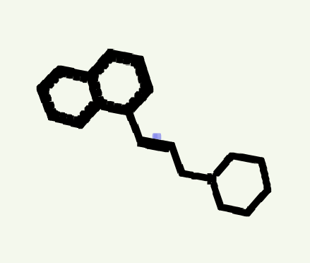 C(=C\c1cccc2ccccc12)/CN1CCCCC1